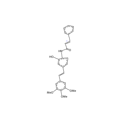 COc1cc(C=Cc2ccc(NC(=O)/C=C/c3ccccc3)c(O)c2)cc(OC)c1OC